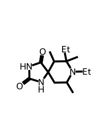 CCN1C(C)CC2(NC(=O)NC2=O)C(C)C1(C)CC